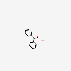 O=C(OCC(Cl)(Cl)Cl)[C](c1ccccc1)c1ccccc1